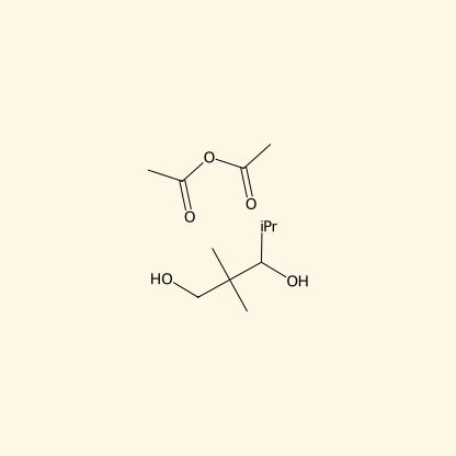 CC(=O)OC(C)=O.CC(C)C(O)C(C)(C)CO